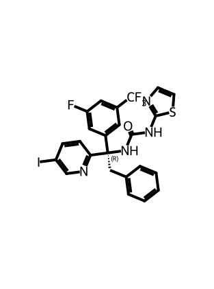 O=C(Nc1nccs1)N[C@](Cc1ccccc1)(c1cc(F)cc(C(F)(F)F)c1)c1ccc(I)cn1